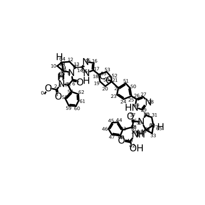 COC(=O)N[C@@H](C(=O)N1[C@@H]2C[C@H]2C[C@H]1c1ncc(C23CCC(c4ccc(-c5cnc([C@@H]6C[C@H]7C[C@H]7N6C(=O)[C@H](NC(=O)O)c6ccccc6)[nH]5)cc4)(CC2)CC3)[nH]1)c1ccccc1